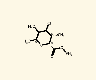 CC1C(C)[C@H](C)[C@H](C(=O)OP)O[C@H]1C